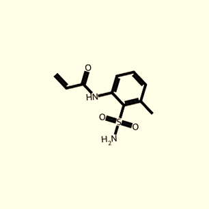 C=CC(=O)Nc1cccc(C)c1S(N)(=O)=O